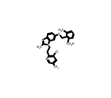 Cc1cccc(C(=O)O)c1COc1ccc2nc(C)n(CCc3ncc(C(F)(F)F)cc3Cl)c2c1